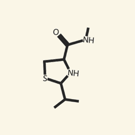 CNC(=O)C1CSC(C(C)C)N1